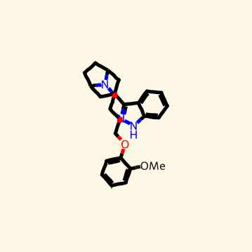 COc1c[c]ccc1OCCCCN1C2CCC1CC(c1n[nH]c3ccccc13)C2